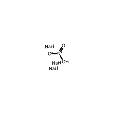 O=[N+]([O-])O.[NaH].[NaH].[NaH]